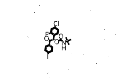 CC(C)(C)NC(=O)OC(C(=O)c1ccc(I)cc1)c1ccc(Cl)cc1F